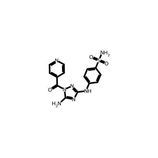 Nc1nc(Nc2ccc(S(N)(=O)=O)cc2)nn1C(=O)c1ccncc1